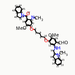 C=Nc1cc(OCCCCCOc2cc(NCC3Cc4ccccc4N3C)c(C=O)cc2OC)c(OC)cc1C(=O)N1CCc2ccccc21